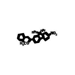 CCCC1(CCC)c2cc(C(=O)Cc3ccccc3C)ccc2-c2ccc([N+](=O)[O-])cc21